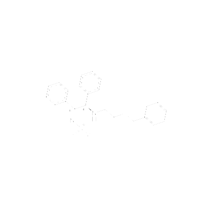 CS(=O)(=O)N[C@H](c1ccccc1)[C@H](NCCOCC1=CCC=CC1)c1ccccc1